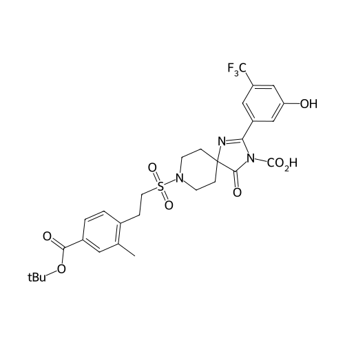 Cc1cc(C(=O)OC(C)(C)C)ccc1CCS(=O)(=O)N1CCC2(CC1)N=C(c1cc(O)cc(C(F)(F)F)c1)N(C(=O)O)C2=O